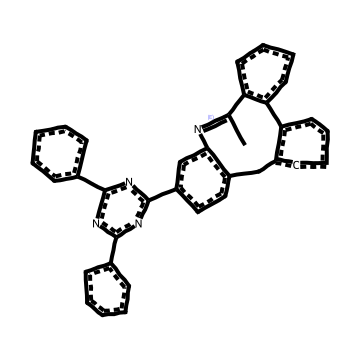 C/C1=N\c2cc(-c3nc(-c4ccccc4)nc(-c4ccccc4)n3)ccc2Cc2ccccc2-c2ccccc21